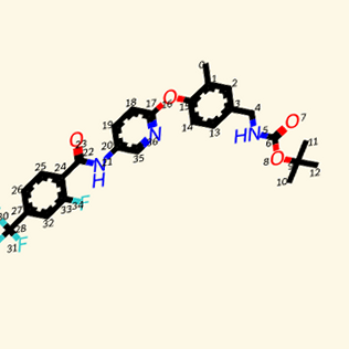 Cc1cc(CNC(=O)OC(C)(C)C)ccc1Oc1ccc(NC(=O)c2ccc(C(F)(F)F)cc2F)cn1